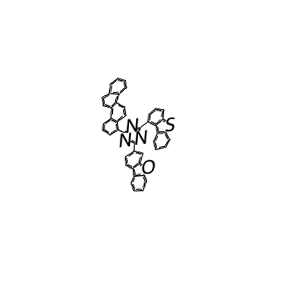 c1ccc2c(c1)ccc1c3cccc(-c4nc(-c5ccc6c(c5)oc5ccccc56)nc(-c5cccc6sc7ccccc7c56)n4)c3ccc21